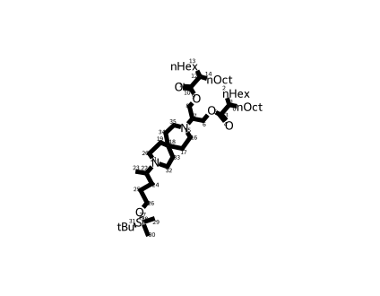 CCCCCCCCC(CCCCCC)C(=O)OCC(COC(=O)C(CCCCCC)CCCCCCCC)N1CCC2(CCN(C(C)CCCO[Si](C)(C)C(C)(C)C)CC2)CC1